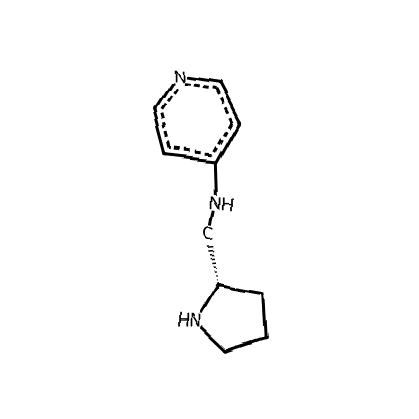 c1cc(NC[C@@H]2CCCN2)ccn1